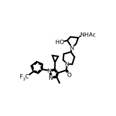 CC(=O)N[C@@H]1CC(O)N(C2CCN(C(=O)c3c(C)nn(-c4cccc(C(F)(F)F)c4)c3C3CC3)CC2)C1